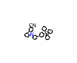 N#Cc1ccc2c(c1)c1ccccc1n2-c1cccc(-c2ccc([Si](c3ccccc3)(c3ccccc3)c3ccccc3)cc2)c1